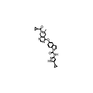 C[C@H]1Cc2c(ncnc2Oc2ccc3c(ccn3C(=O)Nc3cc(C4CC4)[nH]n3)c2)CN1C(=O)C1CC1